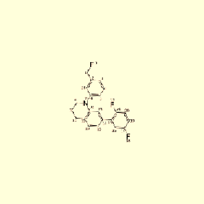 FCc1cccc(N2CCCc3ccc(-c4cc(F)ccc4F)cc32)c1